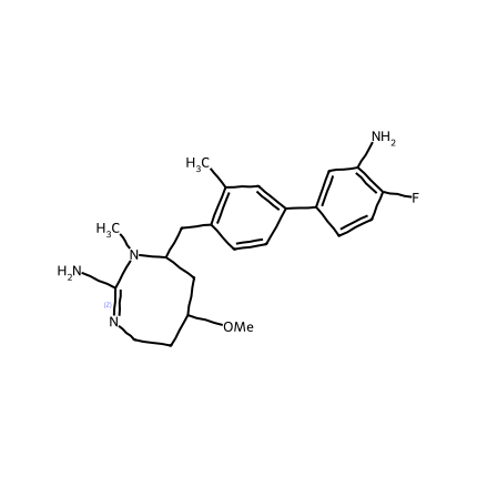 COC1CC/N=C(/N)N(C)C(Cc2ccc(-c3ccc(F)c(N)c3)cc2C)C1